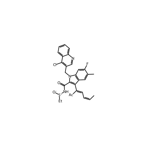 C/C=C\C=C(/C(C)=O)c1c(C(=O)N[S+]([O-])CC)n(Cc2cnc3ccccc3c2Cl)c2cc(F)c(C)cc12